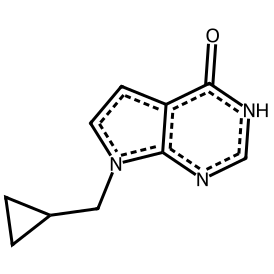 O=c1[nH]cnc2c1ccn2CC1CC1